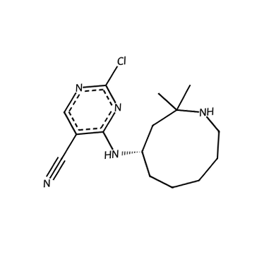 CC1(C)C[C@@H](Nc2nc(Cl)ncc2C#N)CCCCCN1